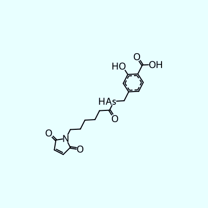 O=C(CCCCCN1C(=O)C=CC1=O)[AsH]Cc1ccc(C(=O)O)c(O)c1